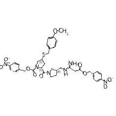 COc1ccc(CS[C@H]2C[C@@H](C(=O)N3CC[C@H](CNC(=N)CC(=O)OCc4ccc([N+](=O)[O-])cc4)C3)N(C(=O)OCc3ccc([N+](=O)[O-])cc3)C2)cc1